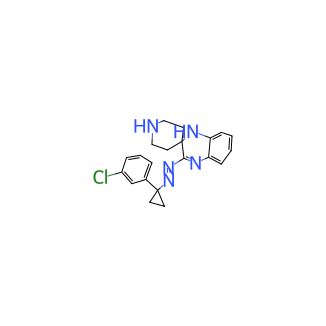 Clc1cccc(C2(N=NC3=Nc4ccccc4NC34CCNCC4)CC2)c1